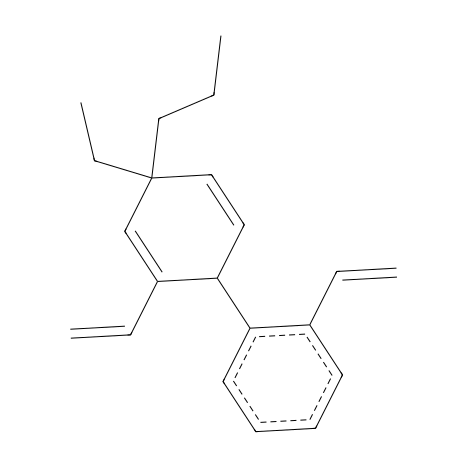 C=CC1=CC(CC)(CCC)C=CC1c1ccccc1C=C